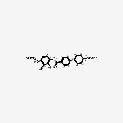 CCCCCCCCOc1ccc(OC(=O)c2ccc([C@H]3CC[C@H](CCCCC)CC3)cc2)c(F)c1F